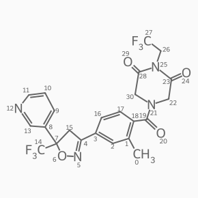 Cc1cc(C2=NOC(c3cccnc3)(C(F)(F)F)C2)ccc1C(=O)N1CC(=O)N(CC(F)(F)F)C(=O)C1